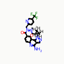 [2H]C1([2H])C([2H])([2H])C1([2H])C(=O)N(C)N(Cc1ccc(C(F)(F)F)cn1)C(=O)c1ccc2nc(N)c3cnn(C)c3c2c1